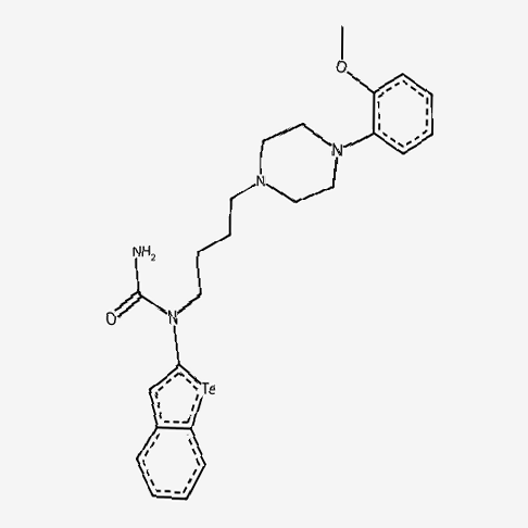 COc1ccccc1N1CCN(CCCCN(C(N)=O)c2cc3ccccc3[te]2)CC1